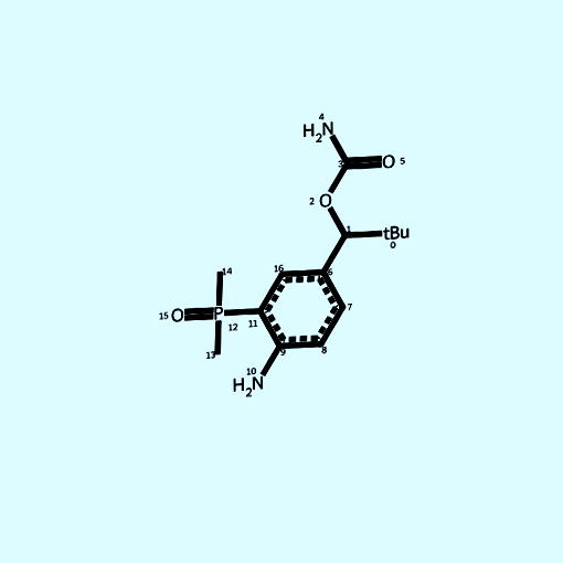 CC(C)(C)C(OC(N)=O)c1ccc(N)c(P(C)(C)=O)c1